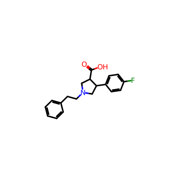 O=C(O)C1CN(CCc2ccccc2)CC1c1ccc(F)cc1